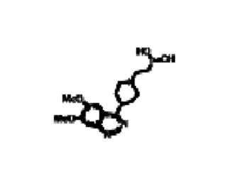 COc1cc2ncnc(C3CCN(CCP(O)O)CC3)c2cc1OC